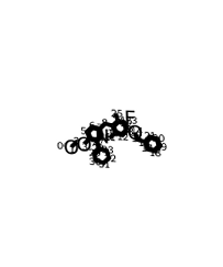 COCOc1ccc(Cc2c(C)cc(OCc3ccccc3)c(F)c2C)nc1C1=CCCCC1